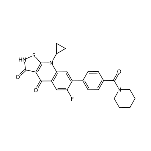 O=C(c1ccc(-c2cc3c(cc2F)c(=O)c2c(=O)[nH]sc2n3C2CC2)cc1)N1CCCCC1